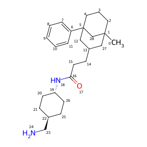 CC12CCCC(c3ccccc3)(CC(CCC(=O)N[C@H]3CC[C@H](CN)CC3)C1)C2